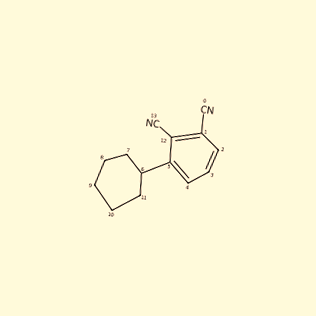 N#Cc1cccc(C2CCCCC2)c1C#N